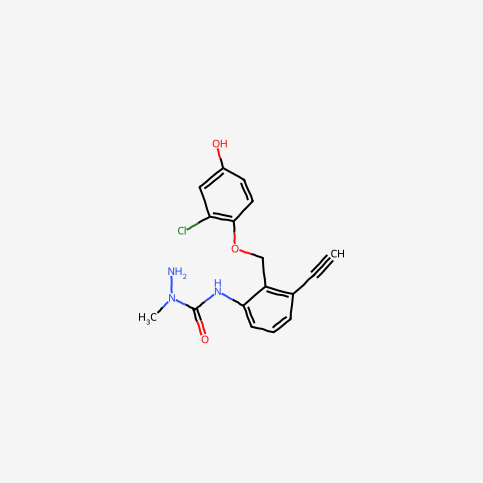 C#Cc1cccc(NC(=O)N(C)N)c1COc1ccc(O)cc1Cl